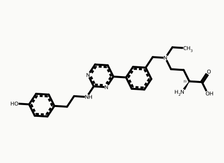 CCN(CC[C@H](N)C(=O)O)Cc1cccc(-c2ccnc(NCCc3ccc(O)cc3)n2)c1